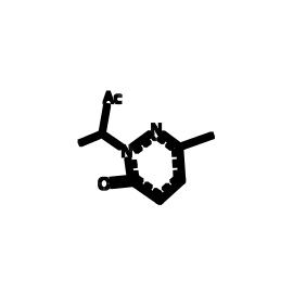 CC(=O)C(C)n1nc(C)ccc1=O